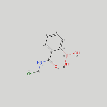 O=C(NCCl)c1ccccc1B(O)O